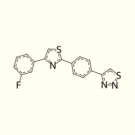 Fc1cccc(-c2csc(-c3ccc(-c4csnn4)cc3)n2)c1